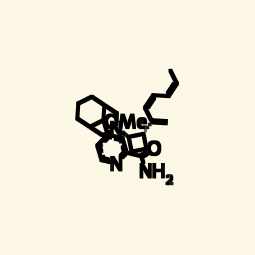 C=C(/C=C\C=C/C)[C@@H]1CC[C@H]1N1CC2CCCC(C1)C2(OC)c1ccnc(C(N)=O)c1